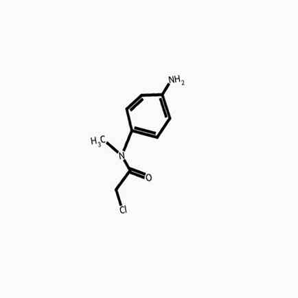 CN(C(=O)CCl)c1ccc(N)cc1